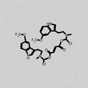 CCC(OC(=O)/C=C/C(=O)OC(CC)N(C)CCc1c[nH]c2ccc(OC(F)(F)F)cc12)N(C)CCc1c[nH]c2ccc(OC(F)(F)F)cc12